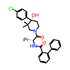 CC(C)[C@@H](NC(=O)c1ccccc1-c1ccccc1)C(=O)N1CC[C@](O)(c2ccc(Cl)cc2)C(C)(C)C1